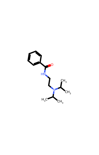 CC(C)N(CCNC(=O)c1ccccc1)C(C)C